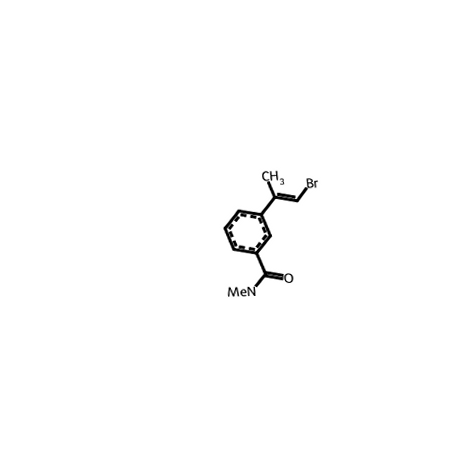 CNC(=O)c1cccc(/C(C)=C/Br)c1